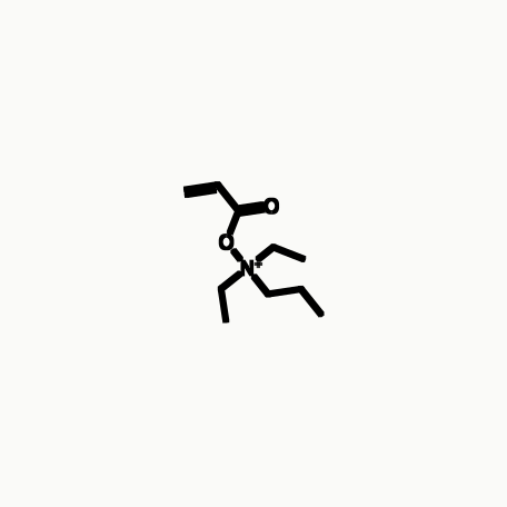 C=CC(=O)O[N+](CC)(CC)CCC